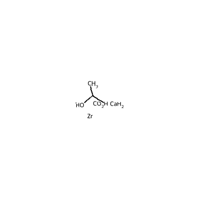 CC(O)C(=O)O.[CaH2].[Zr]